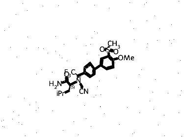 COc1ccc(-c2ccc([C@H](N(CC#N)[C@@H](CC(C)C)C(N)=O)C(F)(F)F)cc2)cc1S(C)(=O)=O